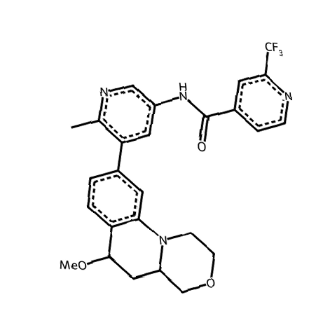 COC1CC2COCCN2c2cc(-c3cc(NC(=O)c4ccnc(C(F)(F)F)c4)cnc3C)ccc21